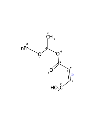 CCCOC(C)OC(=O)/C=C\C(=O)O